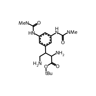 CNC(=O)Nc1cc(NC(=O)NC)cc(C(CN)C(N)C(=O)OC(C)(C)C)c1